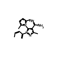 C=C(/C=C\C)n1nc(C)c(C(=N)N)c1-n1c(C)ccc1C